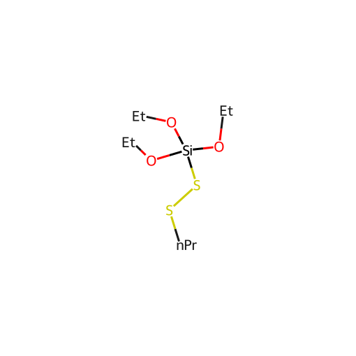 CCCSS[Si](OCC)(OCC)OCC